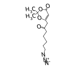 CC1(C)OC(=O)C=C(CC(=O)CCCCCN=[N+]=[N-])O1